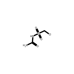 NC(=O)NS(=O)(=O)CCl